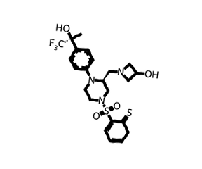 C[C@](O)(c1ccc(N2CCN(S(=O)(=O)C3=CC=CCC3=S)C[C@@H]2CN2CC(O)C2)cc1)C(F)(F)F